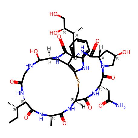 CC[C@H](C)[C@@H]1NC(=O)CNC(O)[C@@H]2Cc3c([nH]c4ccccc34)SC[C@H](NC(=O)[C@@H](C)NC1=O)C(=O)N[C@@H](CC(N)=O)C(=O)N1C[C@H](O)C[C@H]1C(=O)N[C@@H]([C@@H](C)[C@@H](O)CO)C(=O)N2